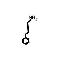 NCCC#CCCc1ccccc1